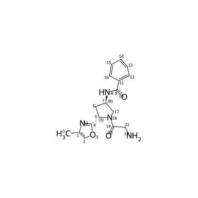 Cc1coc([C@@H]2C[C@@H](NC(=O)c3ccccc3)CN2C(=O)CN)n1